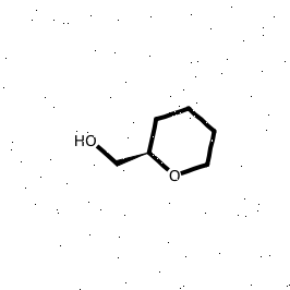 OC[C@H]1CCCCO1